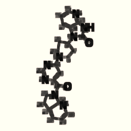 O=C(c1cc(N2CCC(n3c(=O)[nH]c4ncccc43)CC2)ncn1)N1CCc2cccnc21